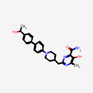 Cc1nc(CC2CCN(c3ccc(-c4ccc(C(C)O)cc4)cc3)CC2)nc(C(N)=O)c1O